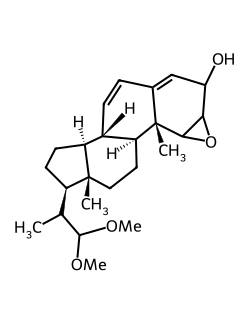 COC(OC)C(C)[C@H]1CC[C@H]2[C@@H]3C=CC4=CC(O)C5OC5[C@]4(C)[C@H]3CC[C@]12C